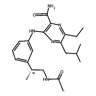 [CH2]C(=O)NC[C@H](C)c1cccc(Nc2nc(CC(C)C)c(CC)nc2C(N)=O)c1